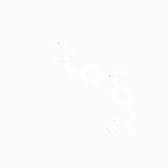 CN(c1ccc(OC(=O)OC(C)(C)C)cc1)c1ccc(OC(=O)OC(C)(C)C)cc1